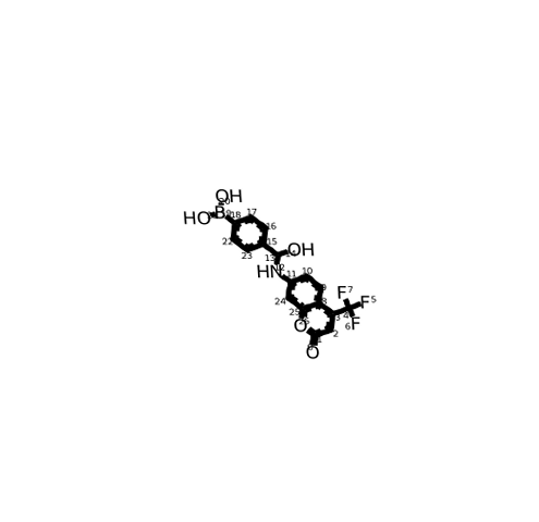 O=c1cc(C(F)(F)F)c2ccc(NC(O)c3ccc(B(O)O)cc3)cc2o1